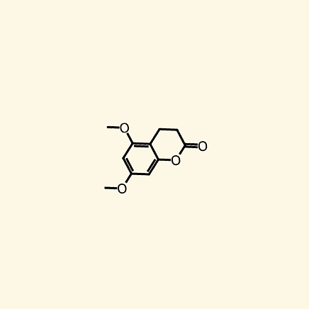 COc1cc(OC)c2c(c1)OC(=O)CC2